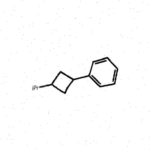 CC(C)C1CC(c2ccccc2)C1